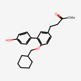 COC(=O)CCc1ccc(OCC2CCCCC2)c(-c2ccc(O)cc2)c1